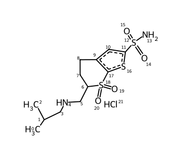 CC(C)CNCC1CCc2cc(S(N)(=O)=O)sc2S1(=O)=O.Cl